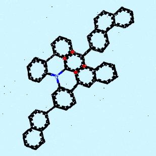 c1ccc(-c2ccccc2N(c2ccc(-c3ccc4c(ccc5ccccc54)c3)cc2)c2cc(-c3ccc4ccccc4c3)ccc2-c2ccc3ccccc3c2)cc1